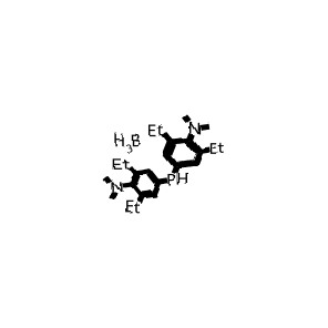 B.CCc1cc(Pc2cc(CC)c(N(C)C)c(CC)c2)cc(CC)c1N(C)C